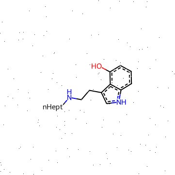 CCCCCCCNCCc1c[nH]c2cccc(O)c12